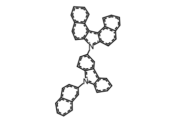 c1ccc2cc(-n3c4ccccc4c4cc(-n5c6ccc7ccccc7c6c6c7ccccc7ccc65)ccc43)ccc2c1